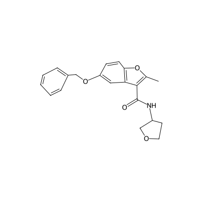 Cc1oc2ccc(OCc3ccccc3)cc2c1C(=O)NC1CCOC1